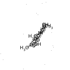 CCCCOC(=O)c1ccc(OC(=O)c2ccc(/N=N/c3ccc(N(CC)CC)cc3)cc2C)cc1O